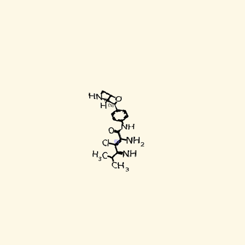 CC(C)C(=N)/C(Cl)=C(\N)C(=O)Nc1ccc([C@@H]2OC3CN[C@H]32)cc1